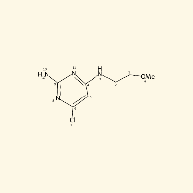 COCCNc1cc(Cl)nc(N)n1